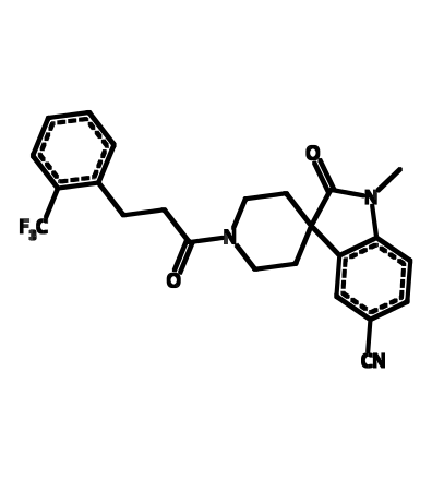 CN1C(=O)C2(CCN(C(=O)CCc3ccccc3C(F)(F)F)CC2)c2cc(C#N)ccc21